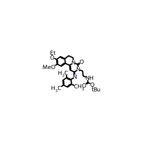 CCOc1cc2c(cc1OC)-c1c/c(=N\c3c(C)cc(C)cc3C)n(CCNC(=O)OC(C)(C)C)c(=O)n1CC2